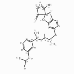 C[C@@H](Cc1ccc2c(c1)OC(C(=O)O)(C(=O)O)O2)NC[C@H](O)c1cccc(OC(F)F)c1